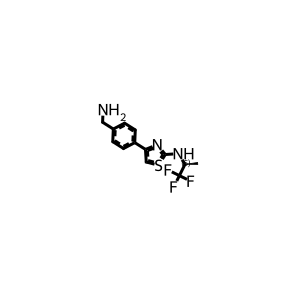 C[C@H](Nc1nc(-c2ccc(CN)cc2)cs1)C(F)(F)F